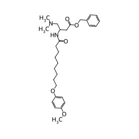 COc1ccc(OCCCCCCCCC(=O)NC(CC(=O)OCc2ccccc2)CN(C)C)cc1